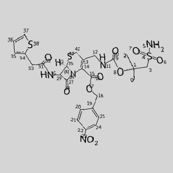 CC(C)(CS(N)(=O)=O)OC(=O)NCC1=C(C(=O)OCc2ccc([N+](=O)[O-])cc2)N2C(=O)C(NC(=O)Cc3cccs3)[C@H]2SC1